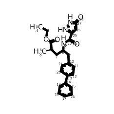 CCOC(=O)[C@H](C)CC(Cc1ccc(-c2ccccc2)cc1)NC(=O)c1cc(=O)[nH][nH]1